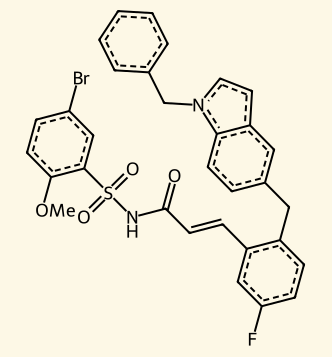 COc1ccc(Br)cc1S(=O)(=O)NC(=O)/C=C/c1cc(F)ccc1Cc1ccc2c(ccn2Cc2ccccc2)c1